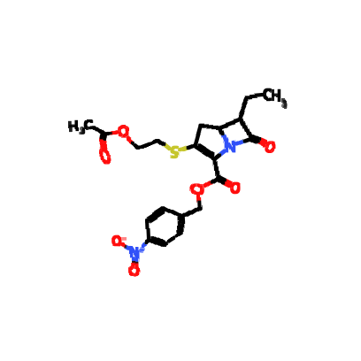 CCC1C(=O)N2C(C(=O)OCc3ccc([N+](=O)[O-])cc3)=C(SCCOC(C)=O)CC12